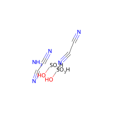 N.N#CC#N.N#CC#N.O=S(=O)(O)O.O=S(=O)(O)O